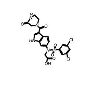 O=C(O)CN(c1ccc2c(C(=O)N3CCNC(=O)C3)c[nH]c2c1)S(=O)(=O)c1cc(Cl)cc(Cl)c1